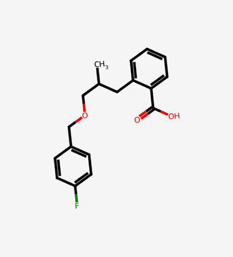 CC(COCc1ccc(F)cc1)Cc1ccccc1C(=O)O